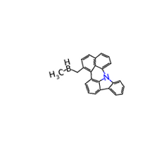 CBCc1ccc2cccc3c2c1c1cccc2c4ccccc4n3c21